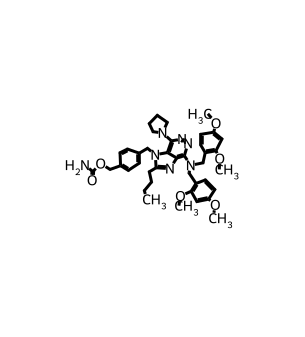 CCCCc1nc2c(N(Cc3ccc(OC)cc3OC)Cc3ccc(OC)cc3OC)nnc(N3CCCC3)c2n1Cc1ccc(COC(N)=O)cc1